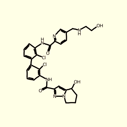 O=C(Nc1cccc(-c2cccc(NC(=O)c3cc4n(n3)CCCC4O)c2Cl)c1Cl)c1ccc(CNCCO)cn1